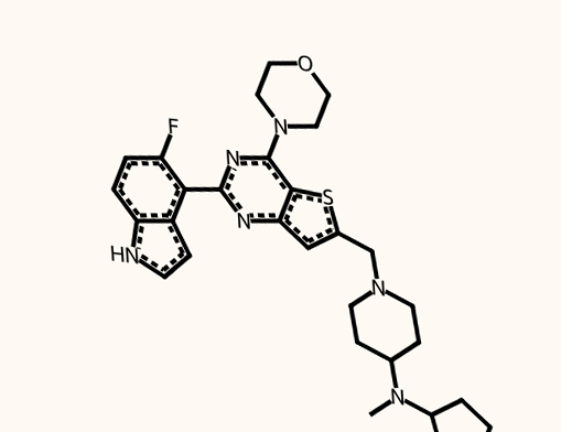 CN(C1CCN(Cc2cc3nc(-c4c(F)ccc5[nH]ccc45)nc(N4CCOCC4)c3s2)CC1)C1CCOC1